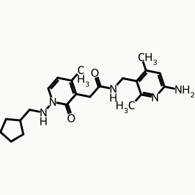 Cc1cc(N)nc(C)c1CNC(=O)Cc1c(C)ccn(NCC2CCCC2)c1=O